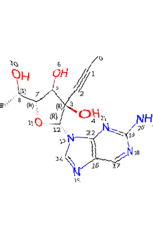 CC#C[C@@]1(O)C(O)[C@@H]([C@H](C)O)O[C@H]1n1cnc2cnc(N)nc21